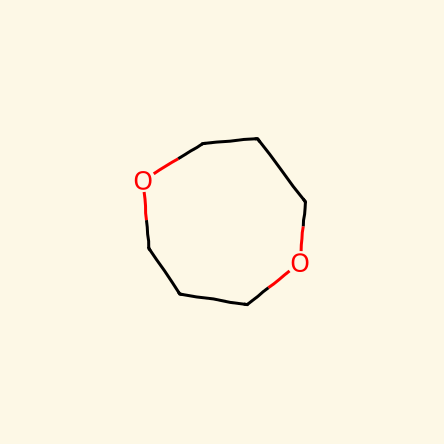 C1COCCCOC1